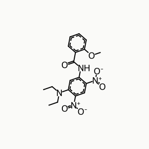 CCN(CC)c1cc(NC(=O)c2ccccc2OC)c([N+](=O)[O-])cc1[N+](=O)[O-]